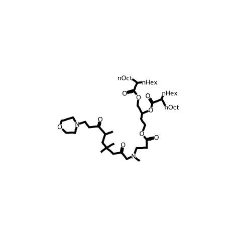 CCCCCCCCC(CCCCCC)C(=O)OCC(CCOC(=O)CCN(C)CC(=O)CC(C)(C)CC(C)C(=O)CCN1CCOCC1)OC(=O)C(CCCCCC)CCCCCCCC